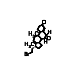 C[C@]12CCC(=O)C=C1[C@@H]1O[C@@H]1C1C2CC[C@@]2(C)C1CC[C@@H]2CCBr